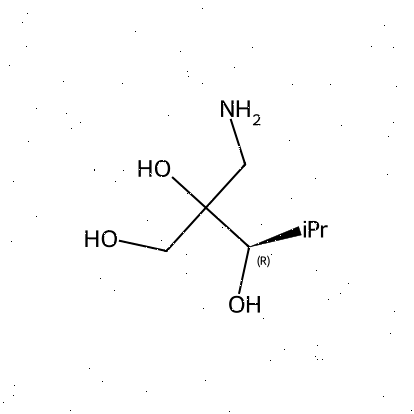 CC(C)[C@@H](O)C(O)(CN)CO